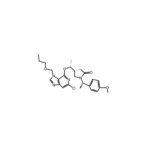 CCCOCn1cnc2cc(Cl)nc(O[C@H](C)[C@@H]3CC(=O)N([C@H](C)c4ccc(OC)cc4)C3)c21